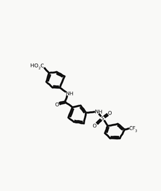 O=C(O)c1ccc(NC(=O)c2cccc(NS(=O)(=O)c3cccc(C(F)(F)F)c3)c2)cc1